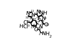 Cl.NCCOc1ccc(-c2cncn2-c2n[nH]c3nc(C(N)=O)sc23)c(Cl)c1